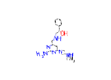 CNC1CN(c2cc(CNCC(O)c3ccccc3)nc(N)n2)C1